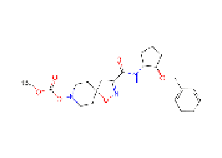 CC(C)(C)OC(=O)ON1CCC2(CC1)CC(C(=O)NC1CCC[C@H]1OCc1ccccc1)=NO2